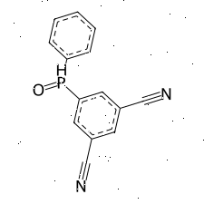 N#Cc1cc(C#N)cc([PH](=O)c2ccccc2)c1